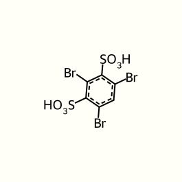 O=S(=O)(O)c1c(Br)cc(Br)c(S(=O)(=O)O)c1Br